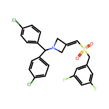 O=S(=O)(C=C1CN(C(c2ccc(Cl)cc2)c2ccc(Cl)cc2)C1)Cc1cc(F)cc(F)c1